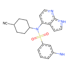 N#CC1CCC(N(c2ccnc3[nH]ccc23)S(=O)(=O)c2cccc(N)c2)CC1